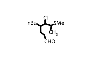 CCCCC(CCC=O)C(Cl)C(C)SC